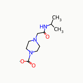 CC(C)NC(=O)CN1CCN(C([O])=O)CC1